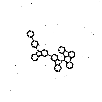 c1ccc(-c2ccc(-n3c4ccccc4c4cc(-c5ccc6c(c5)c5ccccc5n6-c5c6c7c(cccc7c7ccccc57)-c5ccccc5-6)ccc43)cc2)cc1